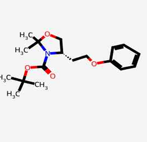 CC(C)(C)OC(=O)N1[C@@H](CCOc2ccccc2)COC1(C)C